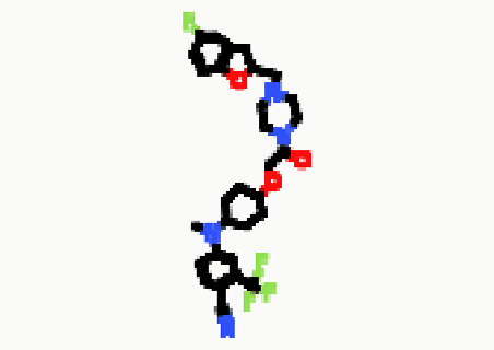 CN(c1ccc(C#N)c(C(F)(F)F)c1)C1CCC(OCC(=O)N2CCN(CC3Cc4cc(F)ccc4O3)CC2)CC1